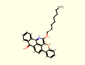 CCCCCCCCOc1nc2c3ccccc3c(=O)c3ccc4c5ccccc5sc1c4c32